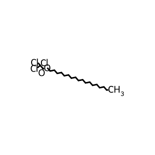 CCCCCCCCCCCCCCCCCCOC(=O)C(Cl)(Cl)Cl